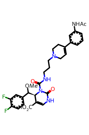 COC(c1ccc(F)c(F)c1)[C@@H]1C(C(=O)O)=CNC(=O)N1C(=O)NCCCN1CC=C(c2cccc(NC(C)=O)c2)CC1